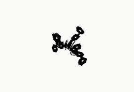 c1ccc(-c2ccc(-c3nc(-c4ccc5c(c4)c4ccccc4n5-c4ccccc4)nc(-c4cc5oc6cc(-c7ccccc7)ccc6c5c5ccccc45)n3)cc2)cc1